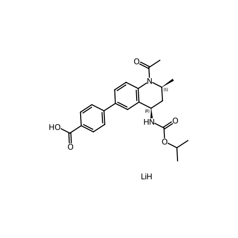 CC(=O)N1c2ccc(-c3ccc(C(=O)O)cc3)cc2[C@H](NC(=O)OC(C)C)C[C@@H]1C.[LiH]